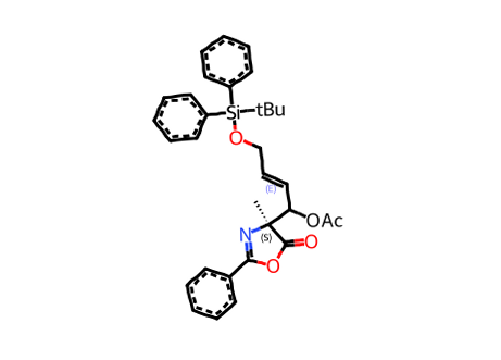 CC(=O)OC(/C=C/CO[Si](c1ccccc1)(c1ccccc1)C(C)(C)C)[C@]1(C)N=C(c2ccccc2)OC1=O